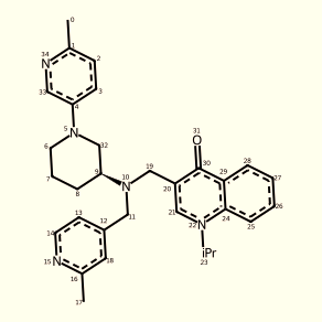 Cc1ccc(N2CCC[C@H](N(Cc3ccnc(C)c3)Cc3cn(C(C)C)c4ccccc4c3=O)C2)cn1